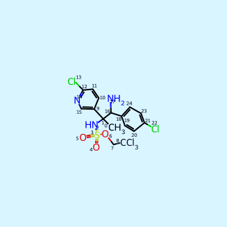 CC(NS(=O)(=O)OCC(Cl)(Cl)Cl)(c1ccc(Cl)nc1)C(N)c1ccc(Cl)cc1